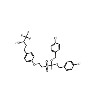 CC(OCc1ccc(Cl)cc1)(OCc1ccc(Cl)cc1)S(=O)(=O)CCOc1ccc(CCC(O)C(F)(F)F)cc1